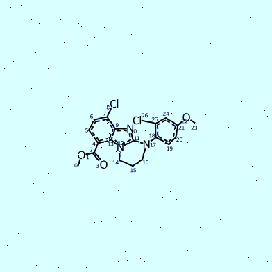 COC(=O)c1ccc(Cl)c2nc3n(c12)CCCN3c1ccc(OC)cc1Cl